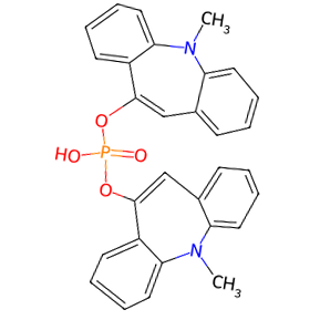 CN1c2ccccc2C=C(OP(=O)(O)OC2=Cc3ccccc3N(C)c3ccccc32)c2ccccc21